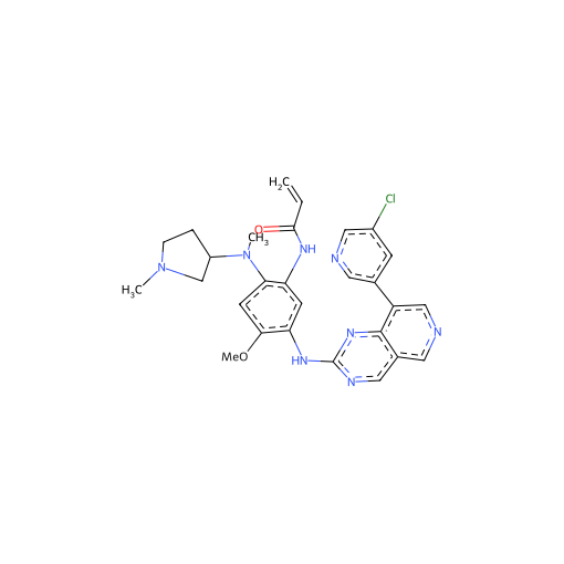 C=CC(=O)Nc1cc(Nc2ncc3cncc(-c4cncc(Cl)c4)c3n2)c(OC)cc1N(C)C1CCN(C)C1